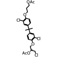 CC(=O)OCCCOc1ccc(C(C)(C)c2ccc(OC[C@@H](CCl)OC(C)=O)c(Cl)c2)cc1Cl